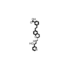 O=C(O)c1cccc(CCc2ccc3c(c2)CC[C@H](CNC[C@@H](O)c2cccnc2)O3)c1